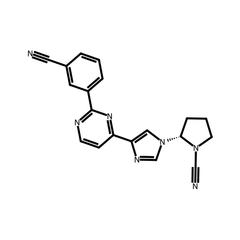 N#Cc1cccc(-c2nccc(-c3cn([C@@H]4CCCN4C#N)cn3)n2)c1